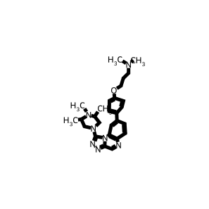 CC1CN(c2nnc3cnc4ccc(-c5ccc(OCCCN(C)C)cc5)cc4n23)CC(C)N1C